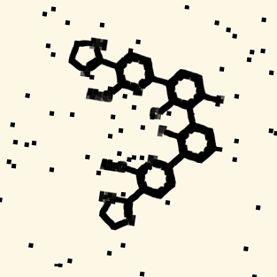 COc1nc(-c2cccc(-c3c(F)ccc(-c4ccc(C5=NCCN5)c(OC)n4)c3Cl)c2F)ccc1C1=NCCN1